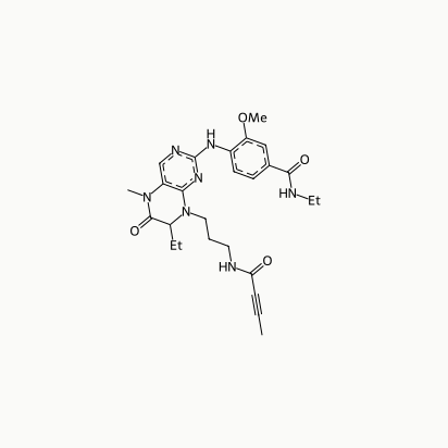 CC#CC(=O)NCCCN1c2nc(Nc3ccc(C(=O)NCC)cc3OC)ncc2N(C)C(=O)C1CC